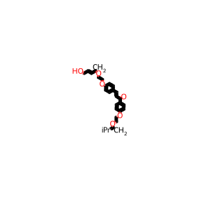 C=C(/C=C/CO)OCCOc1ccc(/C=C/C(=O)c2ccc(OCCOC(=C)C(C)C)cc2)cc1